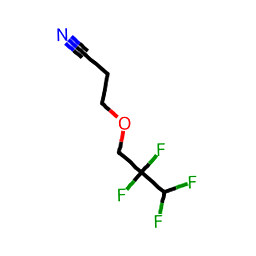 N#CCCOCC(F)(F)C(F)F